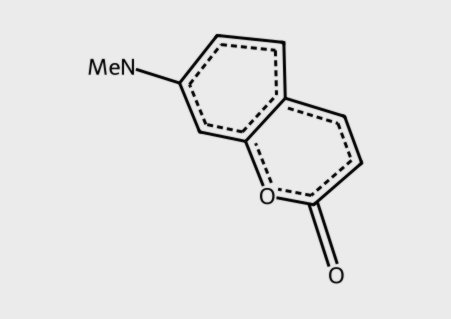 CNc1ccc2ccc(=O)oc2c1